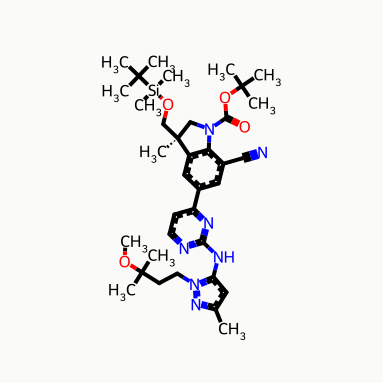 COC(C)(C)CCn1nc(C)cc1Nc1nccc(-c2cc(C#N)c3c(c2)[C@@](C)(CO[Si](C)(C)C(C)(C)C)CN3C(=O)OC(C)(C)C)n1